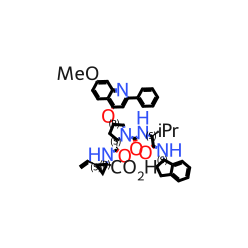 C=C[C@@H]1C[C@]1(NC(=O)[C@@H]1C[C@@H](Oc2cc(-c3ccccc3)nc3cc(OC)ccc23)CN1C(=O)N[C@H](C(=O)N[C@H]1CCc2ccccc21)C(C)C)C(=O)O